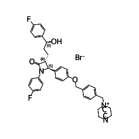 O=C1[C@H](CC[C@H](O)c2ccc(F)cc2)[C@@H](c2ccc(OCc3ccc(C[N+]45CCN(CC4)CC5)cc3)cc2)N1c1ccc(F)cc1.[Br-]